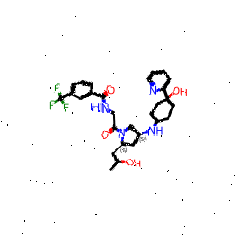 CC(O)C[C@@H]1C[C@H](NC2CCC(O)(c3ccccn3)CC2)CN1C(=O)CNC(=O)c1cccc(C(F)(F)F)c1